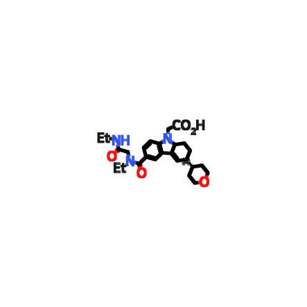 CCNC(=O)CN(CC)C(=O)c1ccc2c(c1)C1=C[C@@H](C3CCOCC3)CCC1N2CC(=O)O